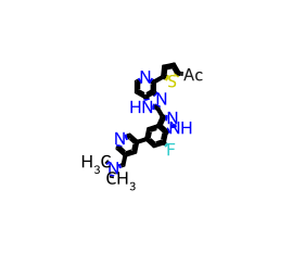 CC(=O)c1ccc(-c2nccc3[nH]c(-c4n[nH]c5c(F)cc(-c6cncc(CN(C)C)c6)cc45)nc23)s1